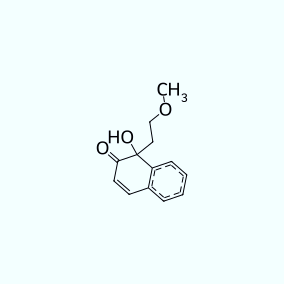 COCCC1(O)C(=O)C=Cc2ccccc21